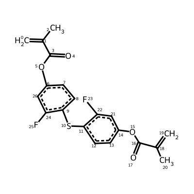 C=C(C)C(=O)Oc1ccc(Sc2ccc(OC(=O)C(=C)C)cc2F)c(F)c1